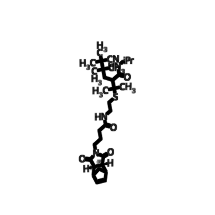 CC(C)NC(=O)C(CC(C)(C)C(C)(C)C#N)C(C)(C)SCCNC(=O)CCCN1C(=O)[C@@H]2C3C=CC(C3)[C@@H]2C1=O